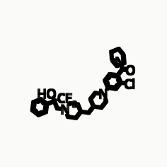 O=C(c1ccc(N2CCC(CC3CCN(C[C@](O)(c4ccccc4)C(F)(F)F)CC3)CC2)cc1Cl)N1C2CCC1CC2